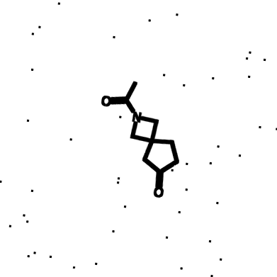 CC(=O)N1CC2(CCC(=O)C2)C1